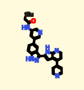 CC(C)(C)CC(=O)Nc1cncc(-c2ccc3[nH]nc(-c4cc5c(-c6ccncc6)ccnc5[nH]4)c3c2)c1